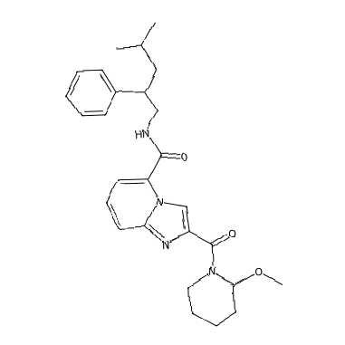 COC1CCCCN1C(=O)c1cn2c(C(=O)NCC(CC(C)C)c3ccccc3)cccc2n1